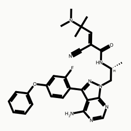 C[C@H](Cn1nc(-c2ccc(Oc3ccccc3)cc2F)c2c(N)ncnc21)NC(=O)C(C#N)=CC(C)(C)N(C)C